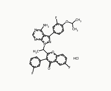 CC(C)Oc1ccc(-c2nn(C(C)c3oc4ccc(F)cc4c(=O)c3-c3cccc(F)c3)c3ncnc(N)c23)cc1F.Cl